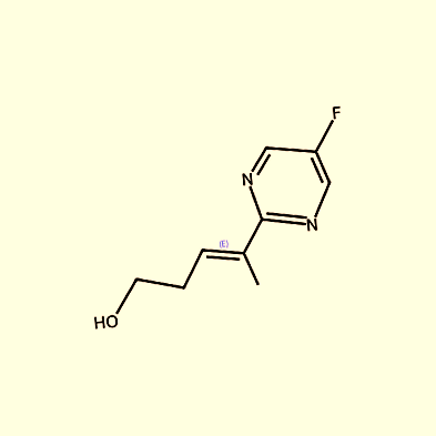 C/C(=C\CCO)c1ncc(F)cn1